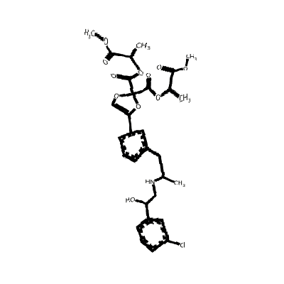 COC(=O)C(C)OC(=O)C1(C(=O)OC(C)C(=O)OC)OC=C(c2cccc(CC(C)NCC(O)c3cccc(Cl)c3)c2)O1